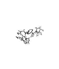 OB(O)c1c(F)ccc(OCc2ccccc2)c1Cl